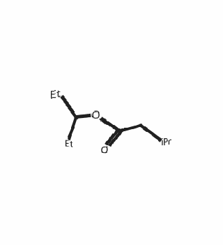 CCC(CC)OC(=O)CC(C)C